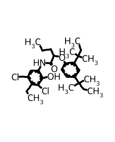 CCCC(Oc1ccc(C(C)(C)CC)cc1C(C)(C)CC)C(=O)Nc1cc(Cl)c(CC)c(Cl)c1O